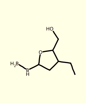 BBC1CC(CC)C(CO)O1